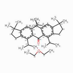 CC(C)c1cc2c(c(C(C)C)c1C(=O)c1c(C(C)C)cc3c(c1C(C)C)CCC3(C)C)CCC2(C)C.CCOCC